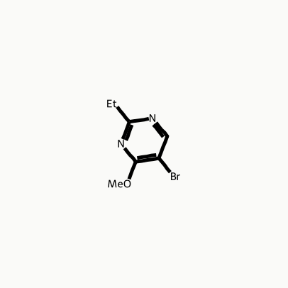 CCc1ncc(Br)c(OC)n1